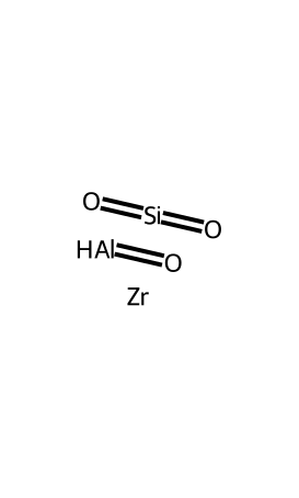 O=[Si]=O.[O]=[AlH].[Zr]